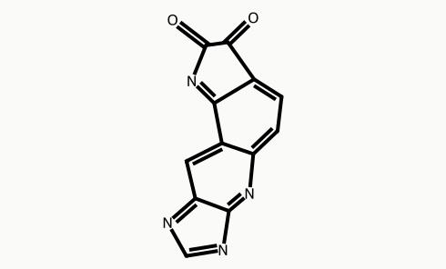 O=c1nc2c(ccc3nc4ncnc4cc32)c1=O